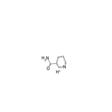 NC(=O)c1cccnc1.[H+]